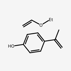 C=C(C)c1ccc(O)cc1.C=COCC